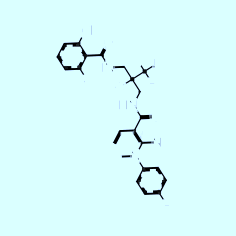 C=C/C(C(=O)NCC(O)(CNC(=O)c1c(Cl)cccc1Cl)C(F)(F)F)=C(/N)N(C)c1ccc(F)cc1